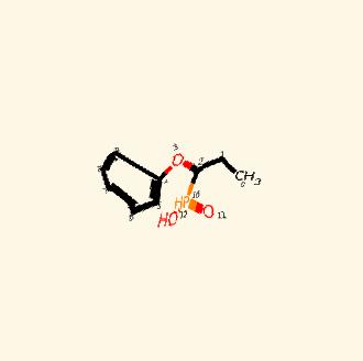 CCC(Oc1ccccc1)[PH](=O)O